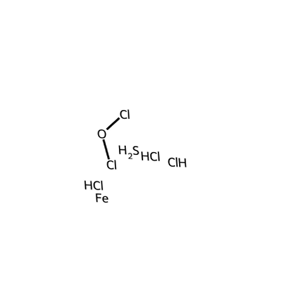 Cl.Cl.Cl.ClOCl.S.[Fe]